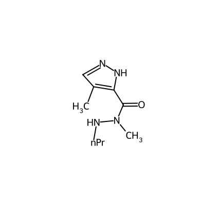 CCCNN(C)C(=O)c1[nH]ncc1C